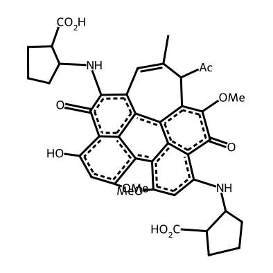 COc1c2c3c4c(c(NC5CCCC5C(=O)O)c(=O)c5c(O)cc(OC)c(c6c(OC)cc(NC7CCCC7C(=O)O)c(c1=O)c63)c54)C=C(C)C2C(C)=O